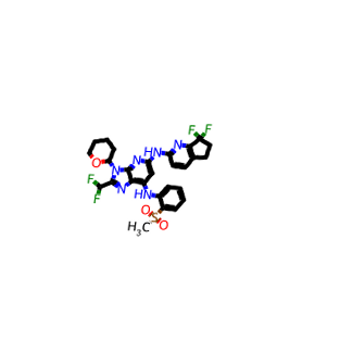 CS(=O)(=O)c1ccccc1Nc1cc(Nc2ccc3c(n2)C(F)(F)CC3)nc2c1nc(C(F)F)n2C1CCCCO1